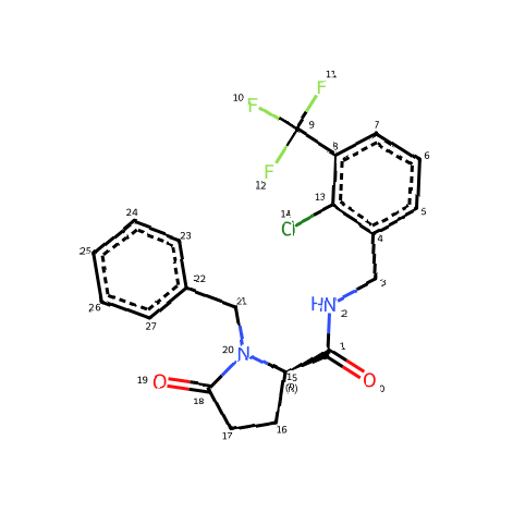 O=C(NCc1cccc(C(F)(F)F)c1Cl)[C@H]1CCC(=O)N1Cc1ccccc1